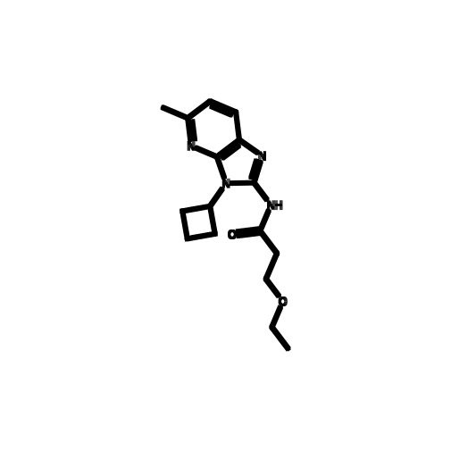 CCOCCC(=O)Nc1nc2ccc(C)nc2n1C1CCC1